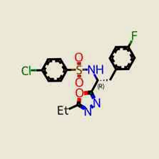 CCc1nnc([C@@H](Cc2ccc(F)cc2)NS(=O)(=O)c2ccc(Cl)cc2)o1